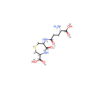 N[C@@H](CCC(=O)NC1CSCC(C(=O)O)NC1=O)C(=O)O